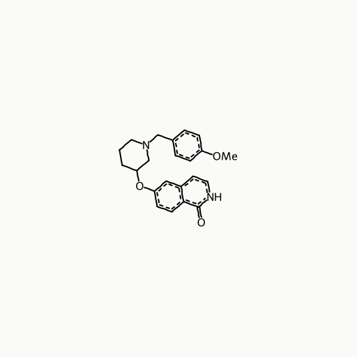 COc1ccc(CN2CCCC(Oc3ccc4c(=O)[nH]ccc4c3)C2)cc1